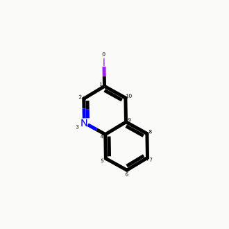 Ic1cnc2cc[c]cc2c1